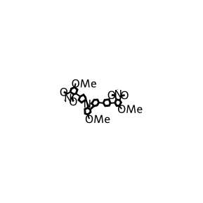 COc1cc2c(c(-c3ccc(-c4ccc5c(c4)c4cc(OC)ccc4n5-c4ccc(-c5cc(OC)cc6c5C(=O)N(C)C6=O)cc4)cc3)c1)C(=O)N(C)C2=O